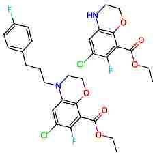 CCOC(=O)c1c(F)c(Cl)cc2c1OCCN2.CCOC(=O)c1c(F)c(Cl)cc2c1OCCN2CCCc1ccc(F)cc1